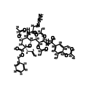 C=CC[C@]1(C(=O)OCc2ccccc2)C[C@H](OC(C)=O)[C@@H](NC(=O)CN=[N+]=[N-])[C@H]([C@H](OC(C)=O)[C@@H](CNC(=O)c2cc(C)c(OC(C)=O)c(C)c2)OC(C)=O)O1